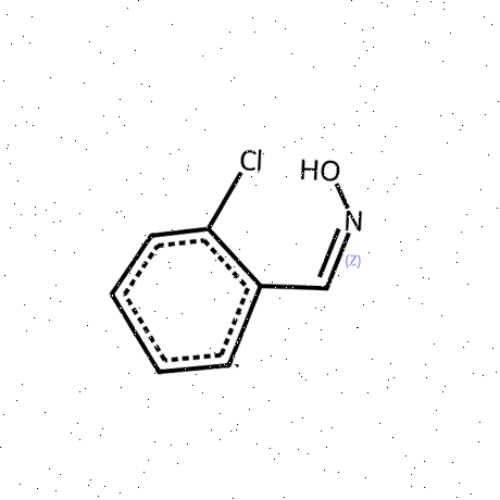 O/N=C\c1[c]cccc1Cl